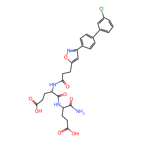 NC(=O)C(CCC(=O)O)NC(=O)C(CCC(=O)O)NC(=O)CCc1cc(-c2ccc(-c3cccc(Cl)c3)cc2)no1